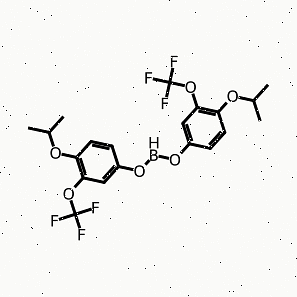 CC(C)Oc1ccc(OBOc2ccc(OC(C)C)c(OC(F)(F)F)c2)cc1OC(F)(F)F